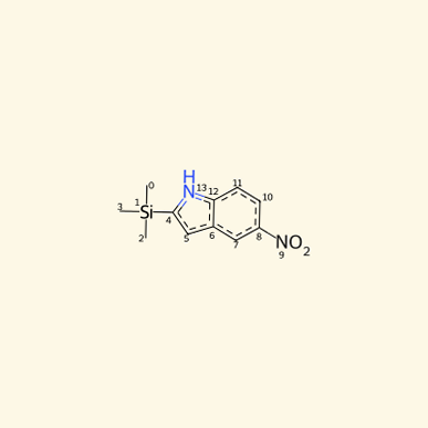 C[Si](C)(C)c1cc2cc([N+](=O)[O-])ccc2[nH]1